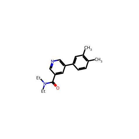 CCN(CC)C(=O)c1cncc(-c2ccc(C)c(C)c2)c1